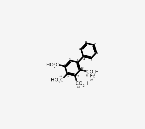 O=C(O)c1cc(-c2ccccc2)c(C(=O)O)c(C(=O)O)c1C(=O)O.[Fe]